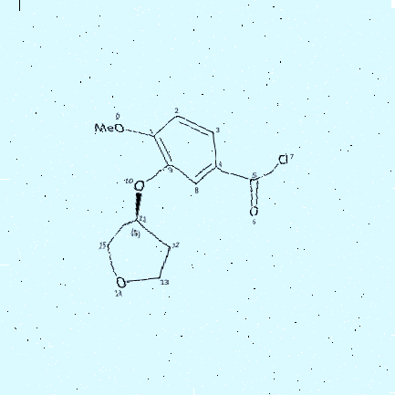 COc1ccc(C(=O)Cl)cc1O[C@H]1CCOC1